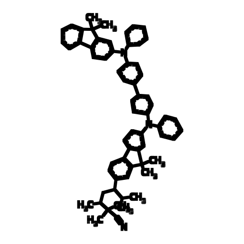 CC(C)C(CC(C)C(C)(C)C#N)c1ccc2c(c1)C(C)(C)c1cc(N(c3ccccc3)c3ccc(-c4ccc(N(c5ccccc5)c5ccc6c(c5)C(C)(C)c5ccccc5-6)cc4)cc3)ccc1-2